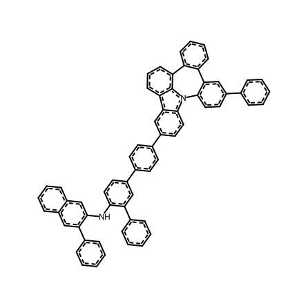 c1ccc(-c2ccc3c(c2)-c2ccccc2-c2cccc4c5cc(-c6ccc(-c7ccc(Nc8cc9ccccc9cc8-c8ccccc8)c(-c8ccccc8)c7)cc6)ccc5n-3c24)cc1